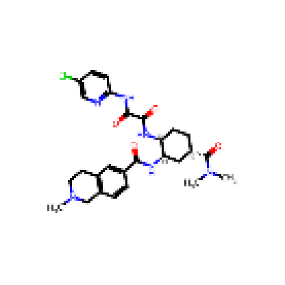 CN1CCc2cc(C(=O)N[C@@H]3C[C@@H](C(=O)N(C)C)CC[C@@H]3NC(=O)C(=O)Nc3ccc(Cl)cn3)ccc2C1